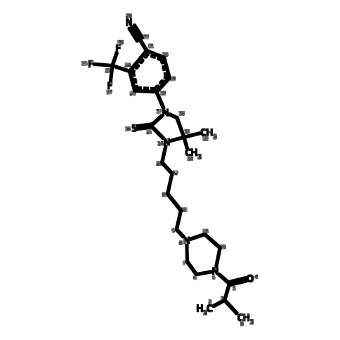 CC(C)C(=O)N1CCN(CCCCCN2C(=S)N(c3ccc(C#N)c(C(F)(F)F)c3)CC2(C)C)CC1